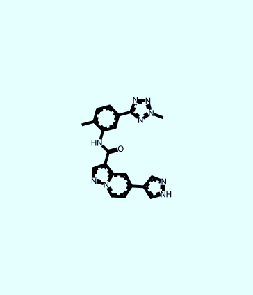 Cc1ccc(-c2nnn(C)n2)cc1NC(=O)c1cnn2ccc(-c3cn[nH]c3)cc12